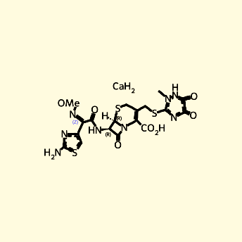 CO/N=C(\C(=O)N[C@@H]1C(=O)N2C(C(=O)O)=C(CSc3nc(=O)c(=O)[nH]n3C)CS[C@H]12)c1csc(N)n1.[CaH2]